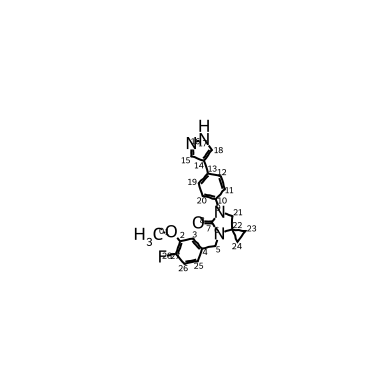 COc1cc(CN2C(=O)N(c3ccc(-c4cn[nH]c4)cc3)CC23CC3)ccc1F